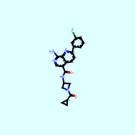 Nc1ncc(C(=O)NC2CN(C(=O)C3CC3)C2)c2ccc(-c3cccc(F)c3)nc12